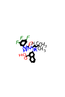 CC(C)(C)c1cc(NC(=O)Nc2cc(F)c(F)c(F)c2)n(-c2cc(C(=O)O)c3ccccc3c2)n1